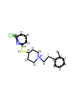 Cc1ccccc1CCN1CCC(Sc2cccc(Cl)n2)CC1